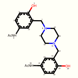 CC(=O)Nc1ccc(O)c(CN2CCN(Cc3cc(NC(C)=O)ccc3O)CC2)c1